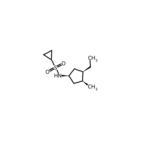 CC[C@@H]1C[C@H](NS(=O)(=O)C2CC2)C[C@@H]1C